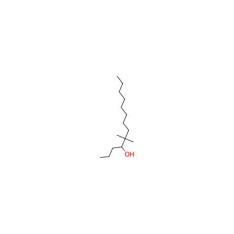 CCCCCCCCC(C)(C)C(O)CCC